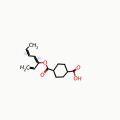 C=C/C(=C\C=C/C)OC(=O)C1CCC(C(=O)O)CC1